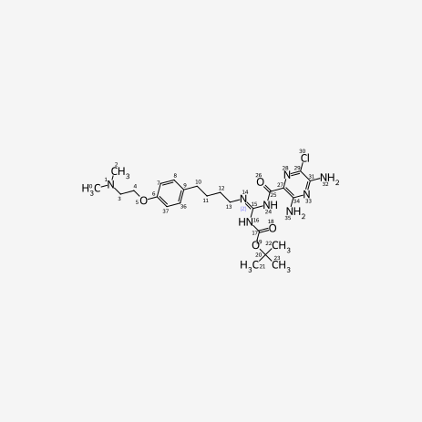 CN(C)CCOc1ccc(CCCC/N=C(\NC(=O)OC(C)(C)C)NC(=O)c2nc(Cl)c(N)nc2N)cc1